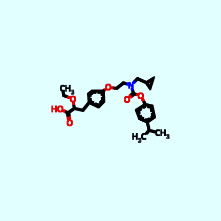 CCOC(Cc1ccc(OCCN(CC2CC2)C(=O)Oc2ccc(C(C)C)cc2)cc1)C(=O)O